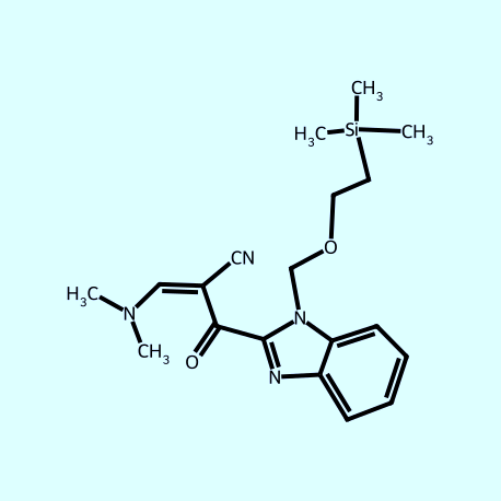 CN(C)/C=C(/C#N)C(=O)c1nc2ccccc2n1COCC[Si](C)(C)C